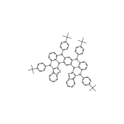 CC(C)(C)c1ccc(N2c3cc4c(cc3B3c5sc6ccccc6c5N(c5ccc(C(C)(C)C)cc5)c5cccc2c53)B2c3sc5ccccc5c3N(c3ccc(C(C)(C)C)cc3)c3cccc(c32)N4c2ccc(C(C)(C)C)cc2)cc1